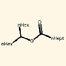 CCCCCCCC(=O)OC(CCCCCC)CCCCCC